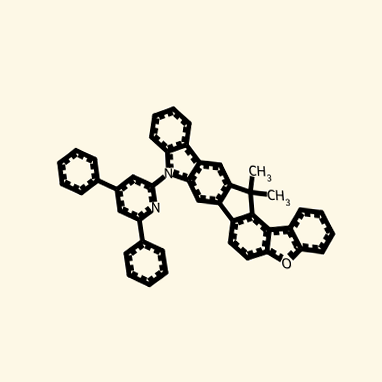 CC1(C)c2cc3c4ccccc4n(-c4cc(-c5ccccc5)cc(-c5ccccc5)n4)c3cc2-c2ccc3oc4ccccc4c3c21